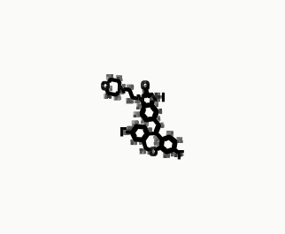 O=c1[nH]c2cc(/C=C3\c4ccc(F)cc4COc4cc(F)ccc43)ccc2n1CCN1CCOCC1